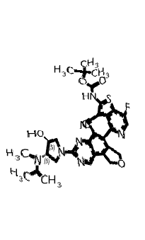 CC(C)N(C)[C@H]1CN(c2ncc3c4c(c(-c5ncc(F)c6sc(NC(=O)OC(C)(C)C)c(C#N)c56)c(Cl)c3n2)COC4)C[C@@H]1O